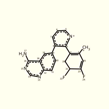 CC1=C(c2ncccc2-c2ccc3ncnc(N)c3c2)CC(F)C(F)=C1